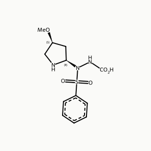 CO[C@@H]1CN[C@H](N(NC(=O)O)S(=O)(=O)c2ccccc2)C1